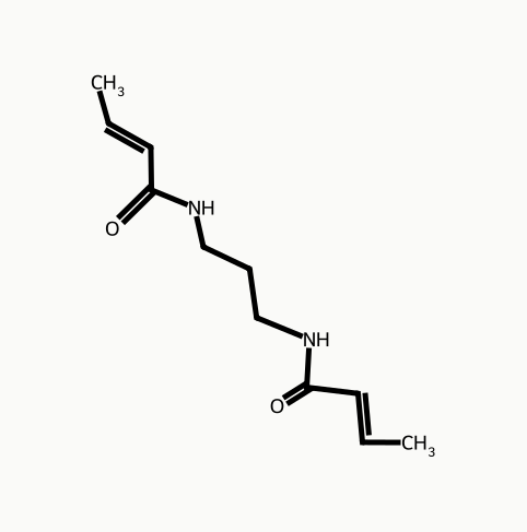 CC=CC(=O)NCCCNC(=O)C=CC